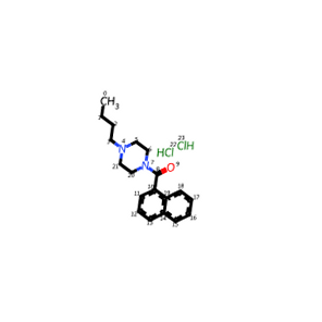 CCCCN1CCN(C(=O)c2cccc3ccccc23)CC1.Cl.Cl